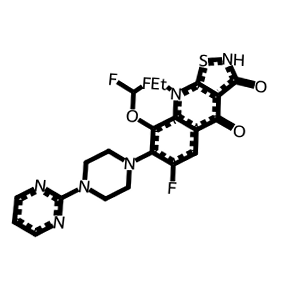 CCn1c2s[nH]c(=O)c2c(=O)c2cc(F)c(N3CCN(c4ncccn4)CC3)c(OC(F)F)c21